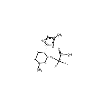 Cc1nnc([C@H]2CC[C@H](N)CC2)o1.O=C(O)C(F)(F)F